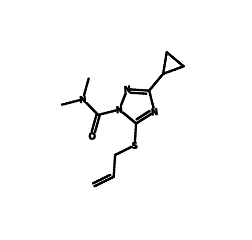 C=CCSc1nc(C2CC2)nn1C(=O)N(C)C